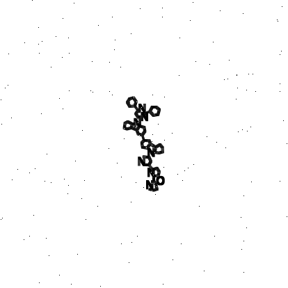 c1ccc(-c2cc(-n3c4ccccc4c4cc(-c5ccc6c(c5)c5ccccc5n6-c5cncc(-c6ccc7oc8cccnc8c7n6)c5)ccc43)nc(-c3ccccc3)n2)cc1